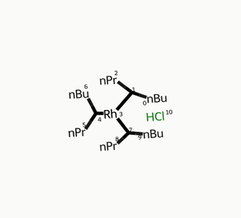 CCCC[CH](CCC)[Rh]([CH](CCC)CCCC)[CH](CCC)CCCC.Cl